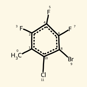 Cc1c(F)c(F)c(F)c(Br)c1Cl